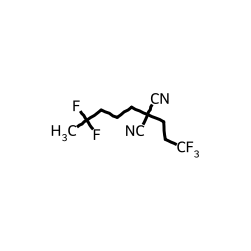 CC(F)(F)CCCC(C#N)(C#N)CCC(F)(F)F